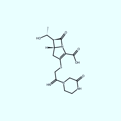 C[C@@H](O)[C@H]1C(=O)N2C(C(=O)O)=C(SCC(=N)N3CCNC(=O)C3)C[C@H]12